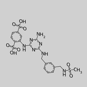 CS(=O)(=O)NCc1cccc(CNc2nc(N)nc(Nc3cc(S(=O)(=O)O)ccc3S(=O)(=O)O)n2)c1